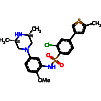 COc1ccc(N2C[C@@H](C)N[C@@H](C)C2)cc1NS(=O)(=O)c1ccc(-c2csc(C)c2)cc1Cl